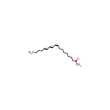 CCCC/C=C/C=C/C=C\CCCCCCCC(C)=O